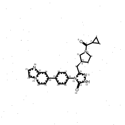 O=C(C1CC1)N1CC[C@@H](Cc2n[nH]c(=O)n2-c2ccc(-c3ccn4ccnc4c3)cc2)C1